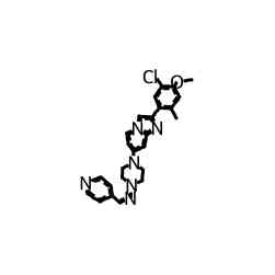 COc1cc(C)c(-c2cn3ccc(N4CCN(/N=C\c5ccncc5)CC4)cc3n2)cc1Cl